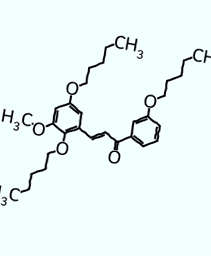 CCCCCOc1cccc(C(=O)C=Cc2cc(OCCCCC)cc(OC)c2OCCCCC)c1